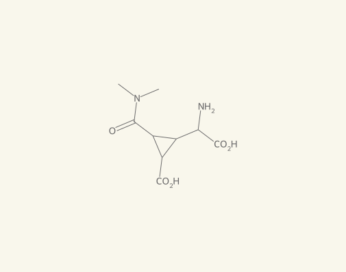 CN(C)C(=O)C1C(C(=O)O)C1C(N)C(=O)O